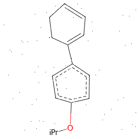 CC(C)Oc1ccc(C2=CC=CC[CH]2)cc1